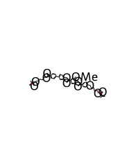 C=C(C)C(=O)OCCCCOC(=O)c1ccc(-c2ccc(OC(=O)c3ccc(OC(=O)c4ccc(OCCCCOC(=O)C(=C)C)cc4)c(OC)c3)cc2)cc1